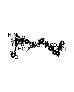 Cc1c(-c2ccc(-c3ccc4nccc(C(=O)Nc5nc6ccccc6s5)c4c3)nc2C(=O)O)cnn1CC12CC3(C)CC(C)(C1)CC(OCCN(CCC(=O)O)C(=O)OCc1ccc(N(C(N)=O)C(=O)[C@H](CCCN)NC(=O)[C@@H](NC(=O)CCCCCN4C(=O)C=CC4=O)C(C)C)cc1)(C3)C2